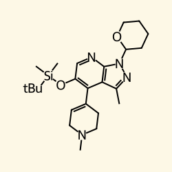 Cc1nn(C2CCCCO2)c2ncc(O[Si](C)(C)C(C)(C)C)c(C3=CCN(C)CC3)c12